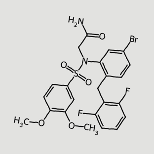 COc1ccc(S(=O)(=O)N(CC(N)=O)c2cc(Br)ccc2Cc2c(F)cccc2F)cc1OC